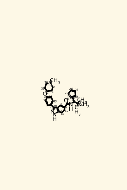 CN1CCC(Oc2ccc(-c3n[nH]c4ccc(C(=O)NC(c5ccccn5)C(C)(C)C)cc34)cc2)CC1